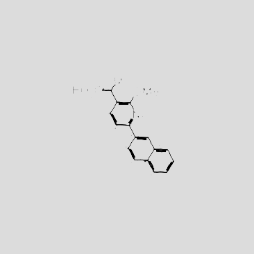 COc1nc(-c2ccc3ccccc3c2)ccc1C(O)C(=O)O